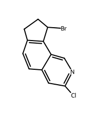 Clc1cc2ccc3c(c2cn1)C(Br)CC3